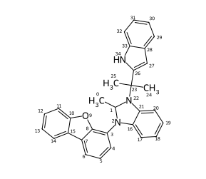 CC1N(c2cccc3c2oc2ccccc23)c2ccccc2N1C(C)(C)c1cc2ccccc2[nH]1